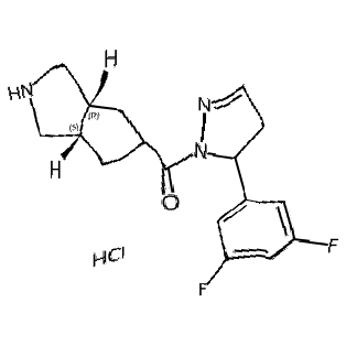 Cl.O=C(C1C[C@H]2CNC[C@H]2C1)N1N=CCC1c1cc(F)cc(F)c1